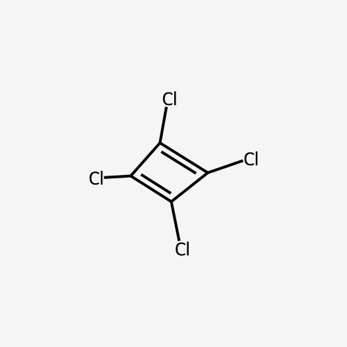 ClC1=C(Cl)C(Cl)=C1Cl